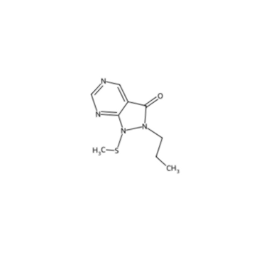 CCCn1c(=O)c2cncnc2n1SC